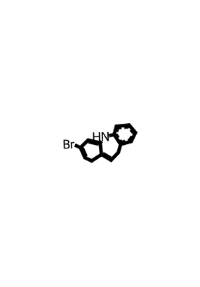 BrC1=CCC2=CCc3ccccc3NC2=C1